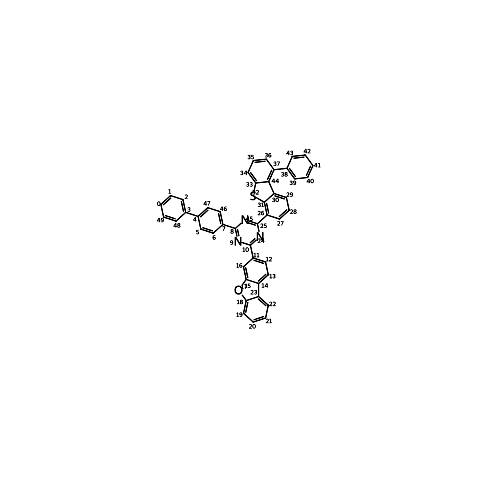 c1ccc(-c2ccc(-c3nc(-c4ccc5c(c4)oc4ccccc45)nc(-c4cccc5c4sc4cccc(-c6ccccc6)c45)n3)cc2)cc1